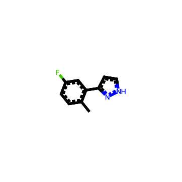 Cc1ccc(F)cc1-c1cc[nH]n1